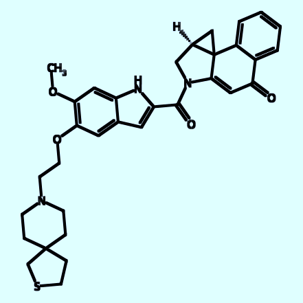 COc1cc2[nH]c(C(=O)N3C[C@H]4CC45C3=CC(=O)c3ccccc35)cc2cc1OCCN1CCC2(CCSC2)CC1